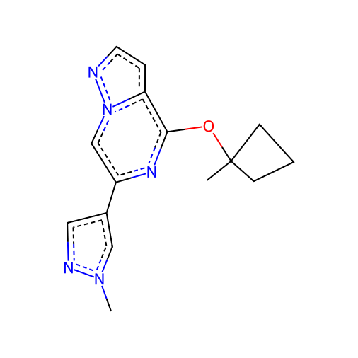 Cn1cc(-c2cn3nccc3c(OC3(C)CCC3)n2)cn1